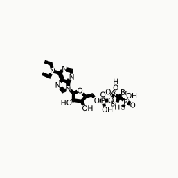 CCN(CC)c1ncnc2c1ncn2C1OC(COP(=O)(O)OP(=O)(O)C(Br)(Br)P(=O)(O)O)C(O)C1O